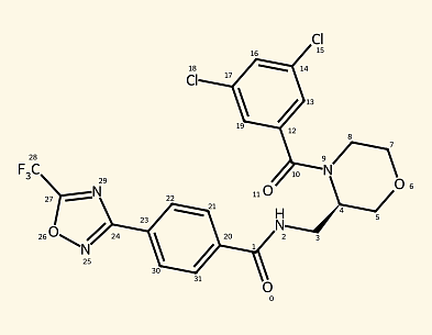 O=C(NC[C@@H]1COCCN1C(=O)c1cc(Cl)cc(Cl)c1)c1ccc(-c2noc(C(F)(F)F)n2)cc1